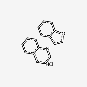 Cl.c1ccc2ncccc2c1.c1ccc2occc2c1